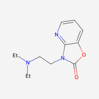 CCN(CC)CCn1c(=O)oc2cccnc21